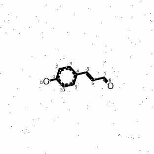 [O]c1ccc(C=CC=O)cc1